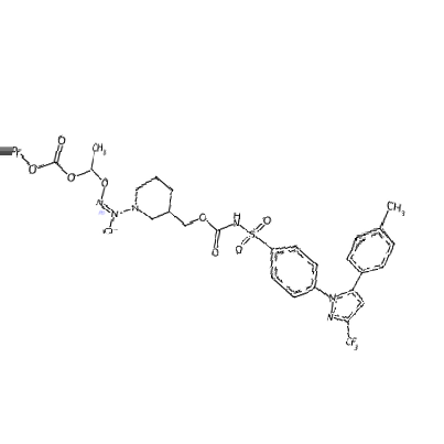 Cc1ccc(-c2cc(C(F)(F)F)nn2-c2ccc(S(=O)(=O)NC(=O)OCC3CCCN(/[N+]([O-])=N\OC(C)OC(=O)OC(C)C)C3)cc2)cc1